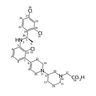 C[C@@H](Nc1cccc(C2=CCN(C3CCCN(CC(=O)O)C3)CC2)c1Cl)c1ccc(Cl)cc1Cl